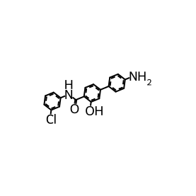 Nc1ccc(-c2ccc(C(=O)Nc3cccc(Cl)c3)c(O)c2)cc1